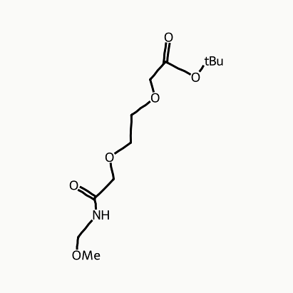 COCNC(=O)COCCOCC(=O)OC(C)(C)C